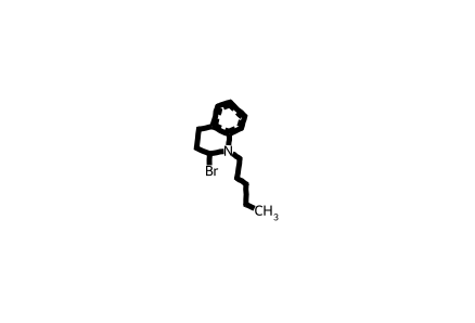 CCCCCN1c2ccccc2CCC1Br